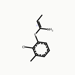 C/C=C(\N)Sc1cccc(C)c1Cl